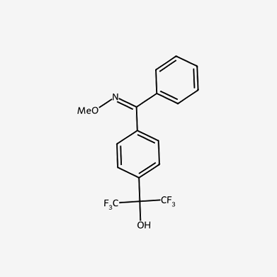 CO/N=C(/c1ccccc1)c1ccc(C(O)(C(F)(F)F)C(F)(F)F)cc1